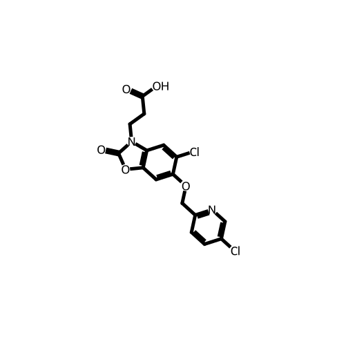 O=C(O)CCn1c(=O)oc2cc(OCc3ccc(Cl)cn3)c(Cl)cc21